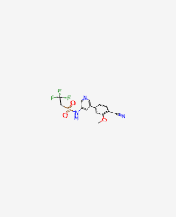 COc1cc(-c2cncc(NS(=O)(=O)CC(F)(F)F)c2)ccc1C#N